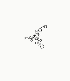 CC(C)(NC(=O)c1cc2c(o1)c(NC(=O)c1ccc(CN3CCCC3)cc1)nn2C(=O)OCCF)c1ccccc1